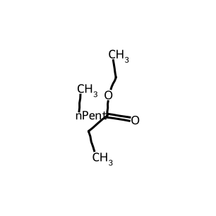 CCCCCC.CCOC(=O)CC